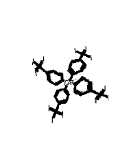 IC(I)(I)c1cc[c]([Ga-]([c]2ccc(C(I)(I)I)cc2)([c]2ccc(C(I)(I)I)cc2)[c]2ccc(C(I)(I)I)cc2)cc1